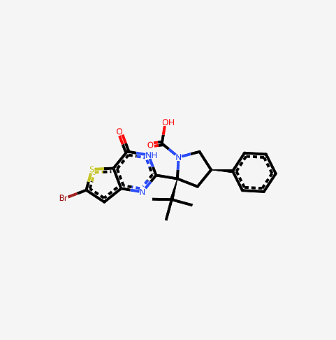 CC(C)(C)[C@]1(c2nc3cc(Br)sc3c(=O)[nH]2)C[C@H](c2ccccc2)CN1C(=O)O